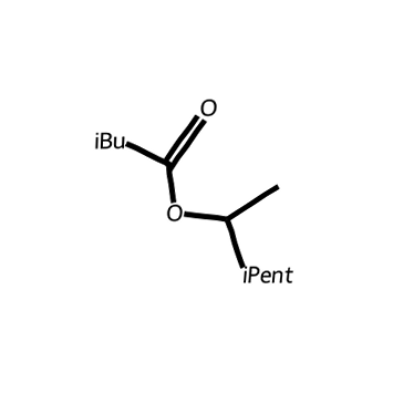 CCCC(C)C(C)OC(=O)C(C)CC